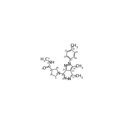 CNC(=O)C1CCN(c2nnc(C)c3c(C)n(-c4ccc(C)cc4)nc23)C1